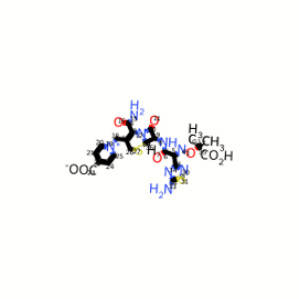 CC(C)(ON=C(C(=O)NC1C(=O)N2C(C(N)=O)=C(C[n+]3ccc(C(=O)[O-])cc3)CS[C@@H]12)c1nsc(N)n1)C(=O)O